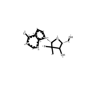 CC1(F)C(O)[C@@H](CO)O[C@H]1n1ccc2c(Cl)ncnc21